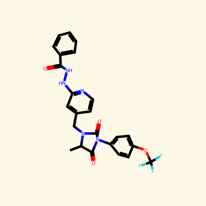 CC1C(=O)N(c2ccc(OC(F)(F)F)cc2)C(=O)N1Cc1ccnc(NNC(=O)c2ccccc2)c1